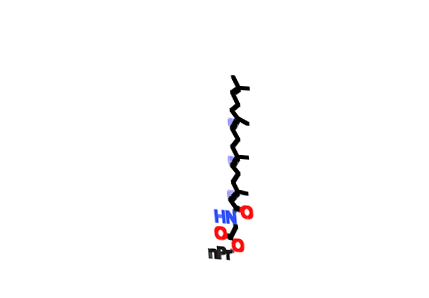 CCCOC(=O)CNC(=O)/C=C(\C)CC/C=C(\C)CC/C=C(\C)CCC=C(C)C